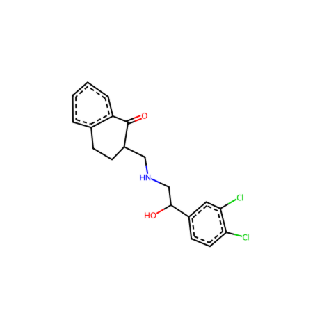 O=C1c2ccccc2CCC1CNCC(O)c1ccc(Cl)c(Cl)c1